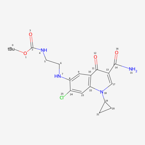 CC(C)(C)OC(=O)NCCNc1cc2c(=O)c(C(N)=O)cn(C3CC3)c2cc1Cl